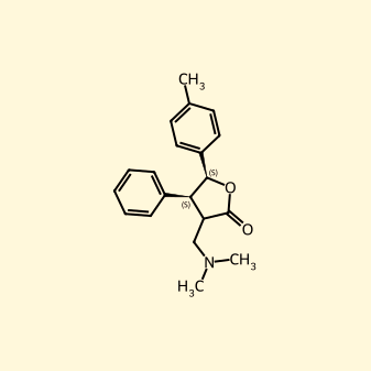 Cc1ccc([C@H]2OC(=O)C(CN(C)C)[C@H]2c2ccccc2)cc1